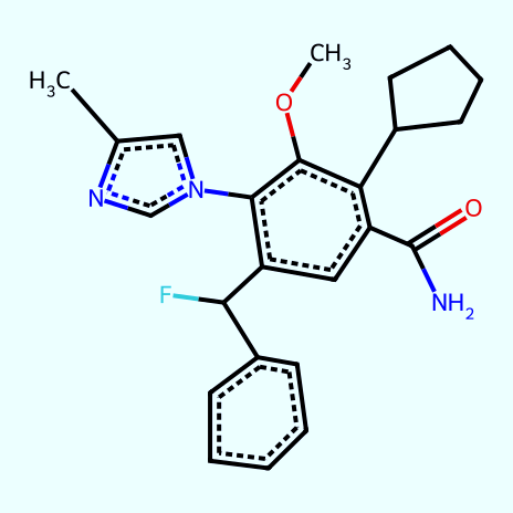 COc1c(C2CCCC2)c(C(N)=O)cc(C(F)c2ccccc2)c1-n1cnc(C)c1